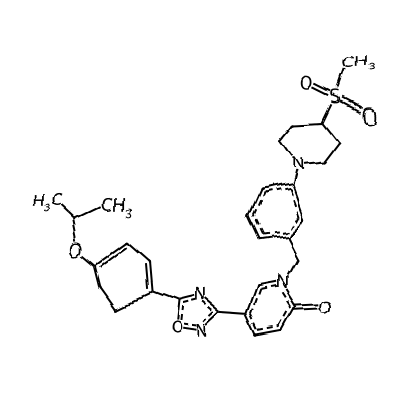 CC(C)OC1=CC=C(c2nc(-c3ccc(=O)n(Cc4cccc(N5CCC(S(C)(=O)=O)CC5)c4)c3)no2)CC1